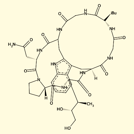 CC[C@H](C)[C@@H]1NC(=O)CNC(=O)[C@@H]2Cc3c([nH]c4ccccc34)CC(NC(=O)CNC1=O)C(=O)N[C@@H](CC(N)=O)C(=O)N1CCC[C@H]1C(=O)N[C@@H]([C@@H](C)[C@@H](O)CO)C(=O)N2